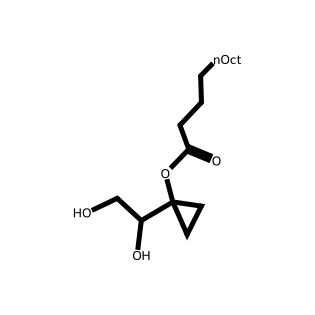 CCCCCCCCCCCC(=O)OC1(C(O)CO)CC1